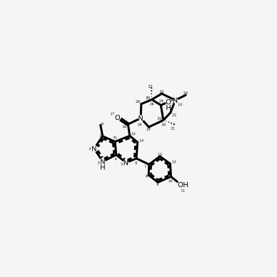 Cc1n[nH]c2nc(-c3ccc(O)cc3)cc(C(=O)N3C[C@]4(C)CN(C)C[C@](C)(C3)C4O)c12